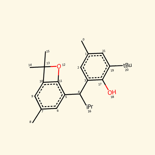 Cc1cc(C(c2cc(C)cc3c2OC3(C)C)C(C)C)c(O)c(C(C)(C)C)c1